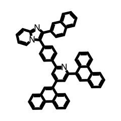 c1ccc2cc(-c3nc4ccccn4c3-c3ccc(-c4cc(-c5cc6ccccc6c6ccccc56)cc(-c5cc6ccccc6c6ccccc56)n4)cc3)ccc2c1